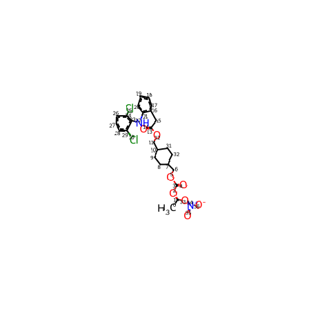 CC(OC(=O)OCC1CCC(COC(=O)Cc2ccccc2Nc2c(Cl)cccc2Cl)CC1)O[N+](=O)[O-]